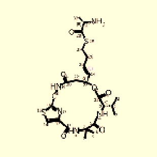 CC(C)[C@@H]1NC(=O)C(C)(C)NC(=O)c2csc(n2)CNC(=O)C[C@@H](/C=C/CCSC(=O)[C@@H](C)N)OC1=O